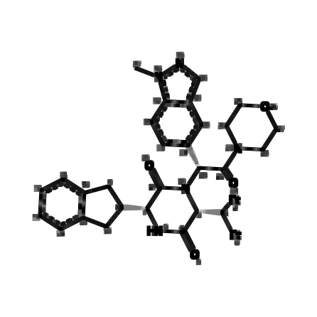 CCC(CC)[C@@H]1C(=O)N[C@H](C2Cc3ccccc3C2)C(=O)N1[C@@H](C(=O)N1CCOCC1)c1ccc2c(cnn2C)c1